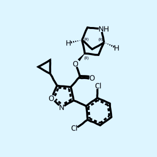 O=C(O[C@@H]1C[C@H]2C[C@@H]1CN2)c1c(-c2c(Cl)cccc2Cl)noc1C1CC1